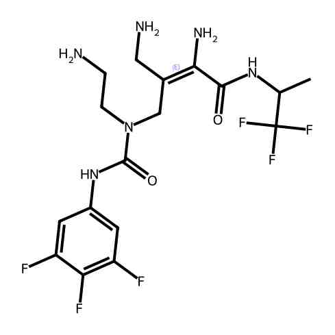 CC(NC(=O)/C(N)=C(/CN)CN(CCN)C(=O)Nc1cc(F)c(F)c(F)c1)C(F)(F)F